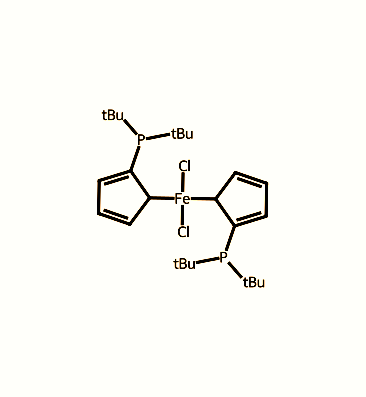 CC(C)(C)P(C1=CC=C[CH]1[Fe]([Cl])([Cl])[CH]1C=CC=C1P(C(C)(C)C)C(C)(C)C)C(C)(C)C